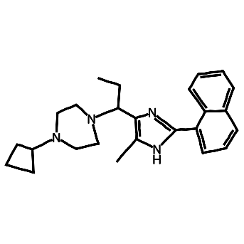 CCC(c1nc(-c2cccc3ccccc23)[nH]c1C)N1CCN(C2CCC2)CC1